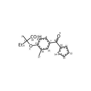 CCC(C)(Oc1ccc(C(=O)c2cccs2)cc1C)C(=O)O